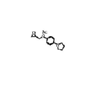 CC(=O)N(CC1CO1)c1ccc(N2CCCC2)cc1